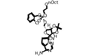 CCCCCCCCOCCOP(=O)(OC[C@H]1O[C@@](C#N)(c2ccc3c(N)ncnn23)[C@@H]2OC(C)(C)O[C@@H]21)Oc1ccccc1Cl